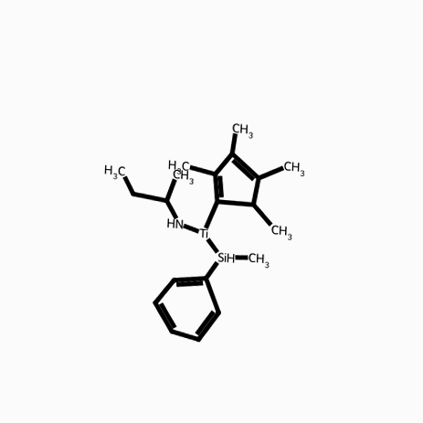 CCC(C)[NH][Ti]([C]1=C(C)C(C)=C(C)C1C)[SiH](C)c1ccccc1